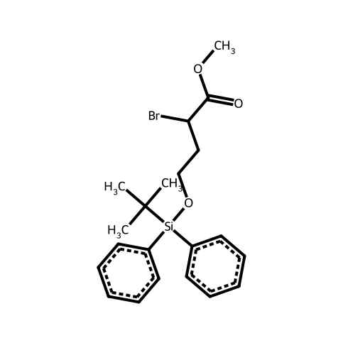 COC(=O)C(Br)CCO[Si](c1ccccc1)(c1ccccc1)C(C)(C)C